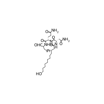 CC(C)C[C@@H](C=O)NC(=O)[C@H](CCC(N)=O)NC(=O)[C@H](CC(N)=O)NC(=O)CCCCCCCCCCCO